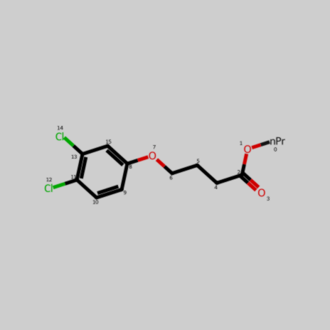 CCCOC(=O)CCCOc1ccc(Cl)c(Cl)c1